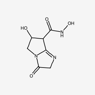 O=C(NO)C1C2=NCC(=O)N2CC1O